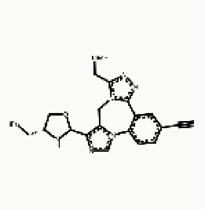 C#Cc1ccc2c(c1)-c1nnc(COC)n1Cc1c(C3N[C@H](CC(C)C)CO3)ncn1-2